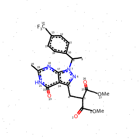 COC(=O)C(Cc1nn(C(C)c2ccc(C(F)(F)F)cc2)c2nc(C)[nH]c(=O)c12)C(=O)OC